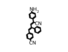 N#CC(=CC(=Cc1ccc(C#N)cc1)c1ccccc1)c1ccc(N)cc1